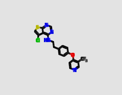 FC(F)(F)c1cnccc1Oc1ccc(CCNc2ncnc3scc(Cl)c23)cc1